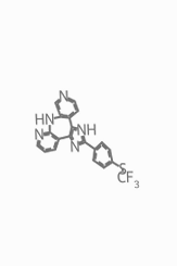 FC(F)(F)Sc1ccc(-c2nc3c([nH]2)-c2ccncc2Nc2ncccc2-3)cc1